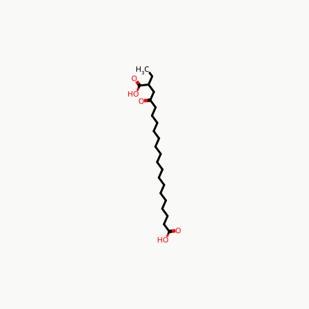 CCC(CC(=O)CCCCCCCCCCCCCCCCC(=O)O)C(=O)O